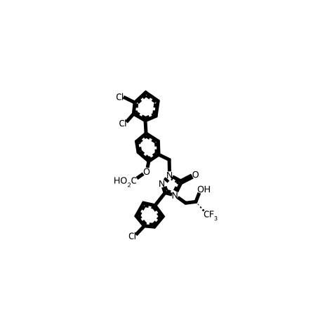 O=C(O)Oc1ccc(-c2cccc(Cl)c2Cl)cc1Cn1nc(-c2ccc(Cl)cc2)n(C[C@H](O)C(F)(F)F)c1=O